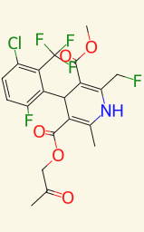 COC(=O)C1=C(CF)NC(C)=C(C(=O)OCC(C)=O)C1c1c(F)ccc(Cl)c1C(F)(F)F